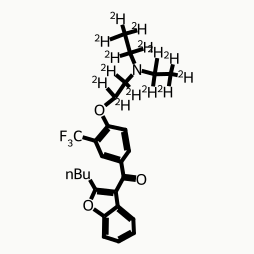 [2H]C([2H])([2H])C([2H])([2H])N(C([2H])([2H])C([2H])([2H])[2H])C([2H])([2H])C([2H])([2H])Oc1ccc(C(=O)c2c(CCCC)oc3ccccc23)cc1C(F)(F)F